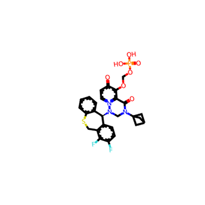 O=C1c2c(OCOP(=O)(O)O)c(=O)ccn2N([C@@H]2c3ccccc3SCc3c2ccc(F)c3F)CN1C12CC(C1)C2